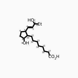 CCC(O)C=CC1CCC(O)C1CCCCCCCC(=O)O